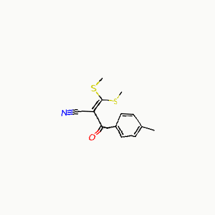 CSC(SC)=C(C#N)C(=O)c1ccc(C)cc1